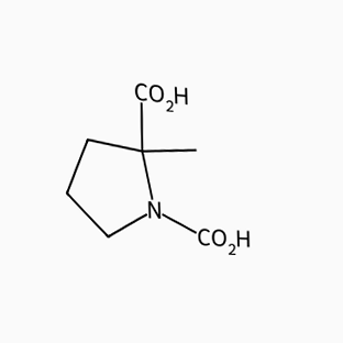 CC1(C(=O)O)CCCN1C(=O)O